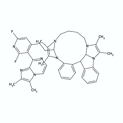 CC1=C(C)N2c3ccccc3C3c4ccccc4N4C(C)=C(C)N(CCCCN1C2CCc1cc(F)nc(F)c1-c1nccn2c(C)c(C)nc12)C34